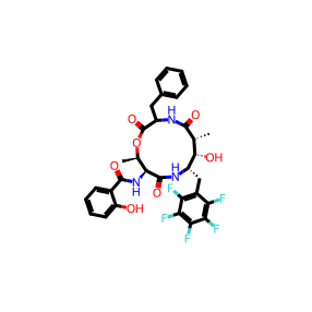 C[C@H]1OC(=O)C(Cc2ccccc2)NC(=O)[C@H](C)[C@H](O)[C@H](Cc2c(F)c(F)c(F)c(F)c2F)NC(=O)[C@H]1NC(=O)c1ccccc1O